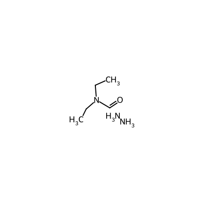 CCN(C=O)CC.N.N